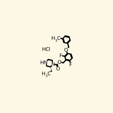 CC[C@@H]1CNCCN1C(=O)OCc1c(F)ccc(OCc2cccc(C)c2)c1F.Cl